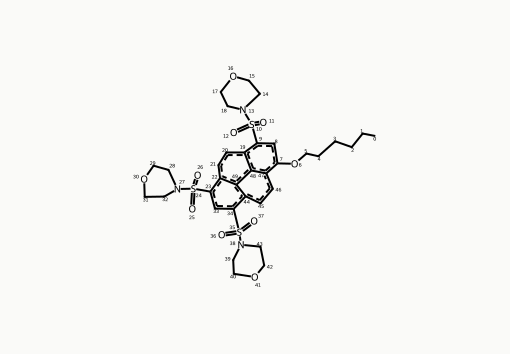 CCCCCCOc1cc(S(=O)(=O)N2CCOCC2)c2ccc3c(S(=O)(=O)N4CCOCC4)cc(S(=O)(=O)N4CCOCC4)c4ccc1c2c43